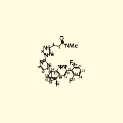 CNC(=O)CCc1ncn(-c2nccc([C@]34CC[C@@H](c5cc(-c6c(F)cccc6F)nnc53)C4(C)C)n2)n1